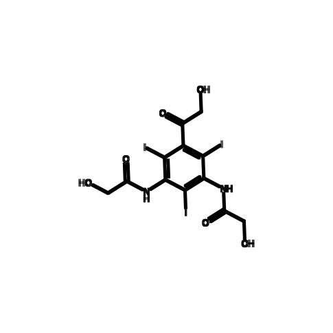 O=C(CO)Nc1c(I)c(NC(=O)CO)c(I)c(C(=O)CO)c1I